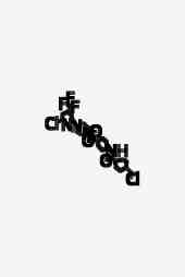 O=C(Nc1ccc(S(=O)(=O)N2CCN(c3cc(C(F)(F)F)cc(Cl)n3)CC2)cc1)c1ccc(CCl)cc1